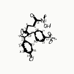 CN(O)C(=O)CCc1onc(-c2ccc(Cl)cc2)c1-c1ccc(S(C)(=O)=O)cc1